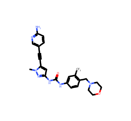 Cn1nc(NC(=O)Nc2ccc(CN3CCOCC3)c(C(F)(F)F)c2)cc1C#Cc1ccc(N)nc1